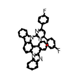 Fc1ccc(-c2cc(-c3ccc(F)cc3)nc(-n3c4ccccc4c4ccc5c(c6ccccc6c6nc7ccccc7n56)c43)n2)cc1